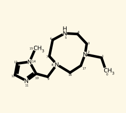 CCN1CCNCCN(Cc2nccn2C)CC1